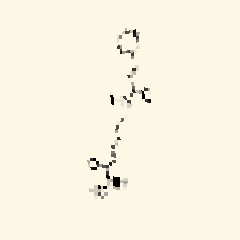 O=C(C=Cc1ccccc1)NCCCCCC(=O)NO